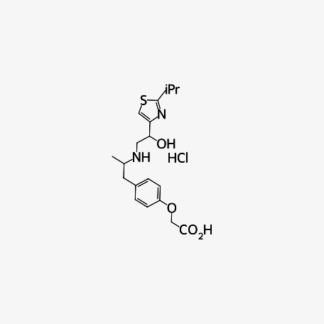 CC(Cc1ccc(OCC(=O)O)cc1)NCC(O)c1csc(C(C)C)n1.Cl